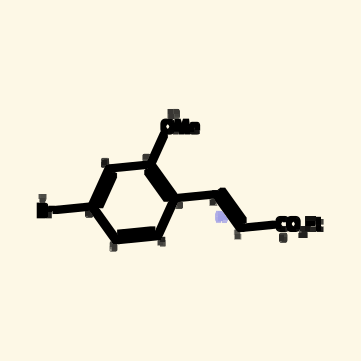 CCOC(=O)/C=C/c1ccc(Br)cc1OC